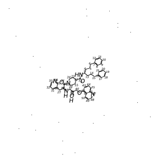 O=C(NC(CCCc1ccccc1)CCCc1ccccc1)C1CCN(C(=O)[C@H](Cc2cccnc2)NC[C@@H](O)COc2cccc3ncccc23)CC1